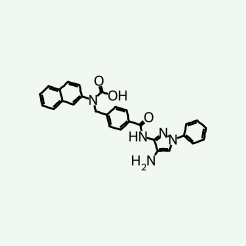 Nc1cn(-c2ccccc2)nc1NC(=O)c1ccc(CN(C(=O)O)c2ccc3ccccc3c2)cc1